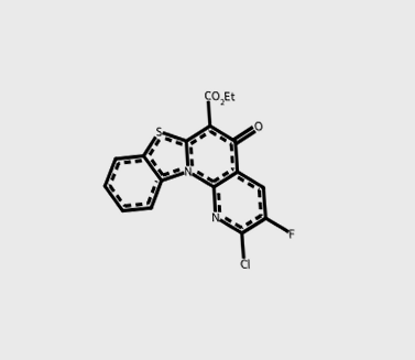 CCOC(=O)c1c(=O)c2cc(F)c(Cl)nc2n2c1sc1ccccc12